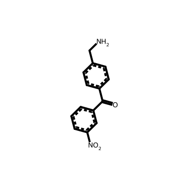 NCc1ccc(C(=O)c2cccc([N+](=O)[O-])c2)cc1